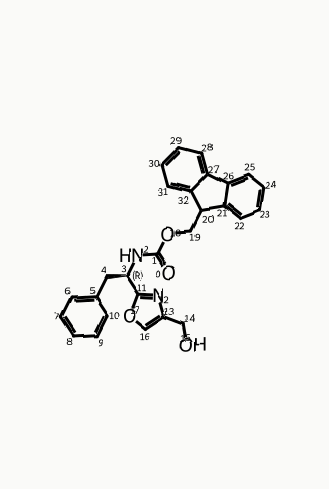 O=C(N[C@H](Cc1ccccc1)c1nc(CO)co1)OCC1c2ccccc2-c2ccccc21